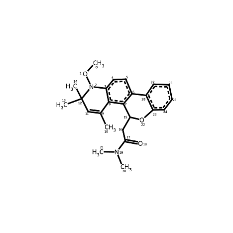 CON1c2ccc3c(c2C(C)=CC1(C)C)C(CC(=O)N(C)C)Oc1ccccc1-3